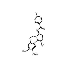 COc1cc2c(cc1OC)C1=C(C#N)CCC(=NC(=O)c3ccc(Cl)cc3)N1CC2